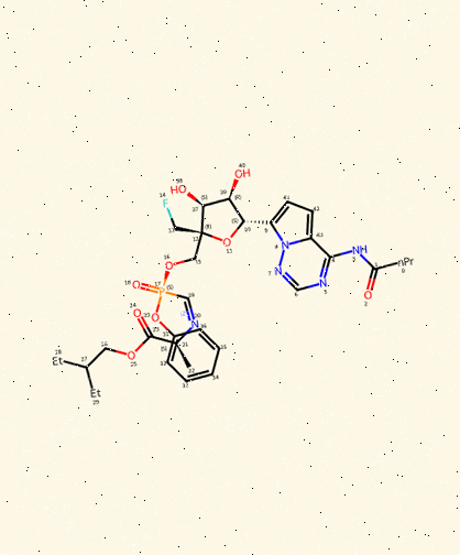 CCCC(=O)Nc1ncnn2c([C@@H]3O[C@](CF)(CO[P@@](=O)(/C=N\[C@@H](C)C(=O)OCC(CC)CC)Oc4ccccc4)[C@@H](O)[C@H]3O)ccc12